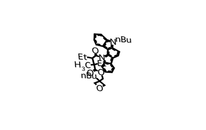 CCCCn1c2ccccc2c2c1ccc1c3ccccc3n(C(=O)C(CC)C(C)(CC)C(=O)OCC3(CCCC)COC3)c12